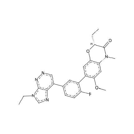 CC[C@H]1Oc2cc(-c3cc(-c4cnnc5c4ncn5CC)ccc3F)c(OC)cc2N(C)C1=O